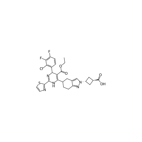 CCOC(=O)C1=C(C2CCc3nn([C@H]4C[C@H](C(=O)O)C4)cc3C2)NC(c2nccs2)=NC1c1ccc(F)c(F)c1Cl